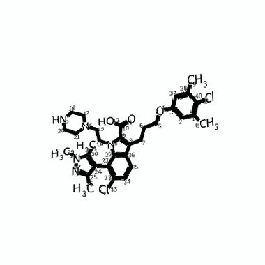 Cc1cc(OCCCc2c(C(=O)O)n(CCN3CCNCC3)c3c(-c4c(C)nn(C)c4C)c(Cl)ccc23)cc(C)c1Cl